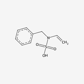 C=CN(Cc1ccccc1)S(=O)(=O)O